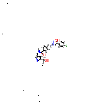 CN(Cc1cncc(C(C)(C)O)c1)C(O)c1ccc(CCNC[C@H](O)c2ccc(Cl)cc2)cc1